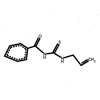 C=CCNC(=S)NC(=O)c1ccccc1